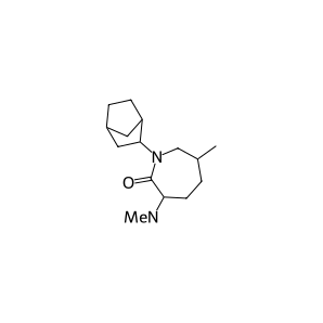 CNC1CCC(C)CN(C2CC3CCC2C3)C1=O